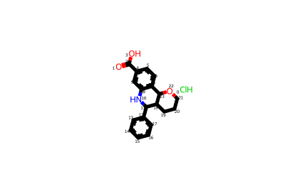 Cl.O=C(O)c1ccc2c(c1)NC(c1ccccc1)C1CCCOC21